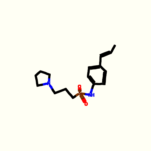 C/C=C/c1ccc(NS(=O)(=O)CCCN2CCCC2)cc1